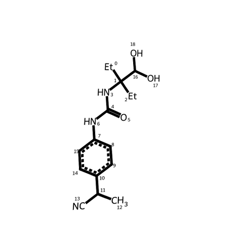 CCC(CC)(NC(=O)Nc1ccc(C(C)C#N)cc1)C(O)O